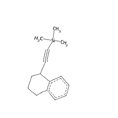 C[Si](C)(C)C#CC1CCCc2ccccc21